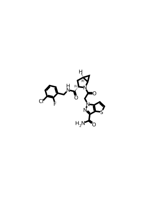 NC(=O)c1nn(CC(=O)N2C3C[C@@H]3C[C@H]2C(=O)NCc2cccc(Cl)c2F)c2ccsc12